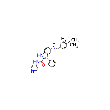 CC(C)(C)c1ccc(CNc2ccc3[nH]c(C(=O)Nc4ccncc4)c(-c4ccccc4)c3c2)cc1